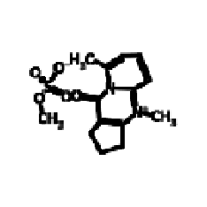 COS(=O)(=O)[O-].Cc1cccc2n1c(=O)c1c([n+]2C)CCC1